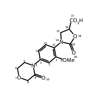 COc1cc(N2CCOCC2=O)ccc1N1CC(C(=O)O)OC1=O